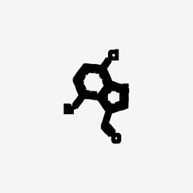 O=Cc1csc2c(Cl)ccc(Br)c12